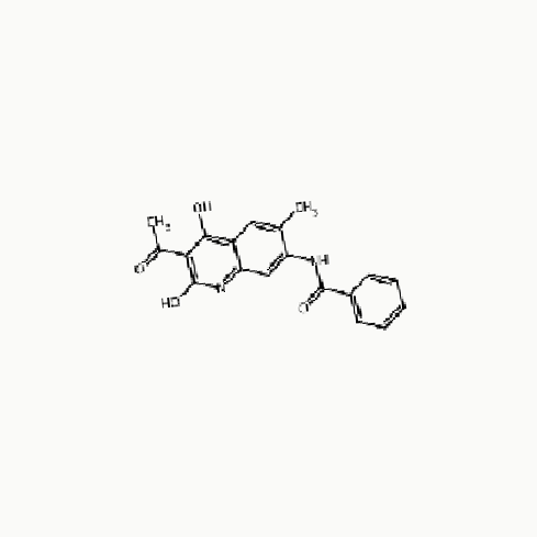 CC(=O)c1c(O)nc2cc(NC(=O)c3ccccc3)c(C)cc2c1O